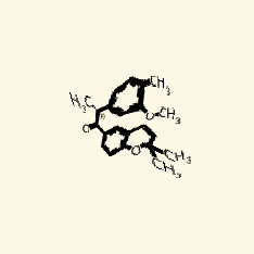 COc1cc([C@@H](C)C(=O)c2ccc3c(c2)C=CC(C)(C)O3)ccc1C